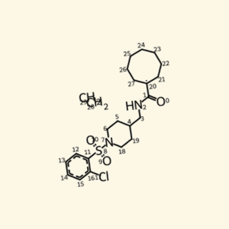 O=C(NCC1CCN(S(=O)(=O)c2ccccc2Cl)CC1)[C]1CCCCCCC1.[CH2].[CH2]